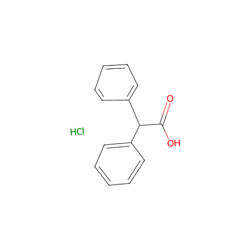 Cl.O=C(O)C(c1ccccc1)c1ccccc1